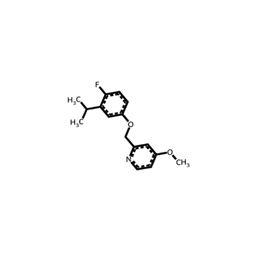 COc1ccnc(COc2ccc(F)c(C(C)C)c2)c1